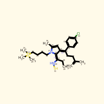 C=C(C)CC/C(c1ccc(Cl)cc1)=c1/cc(C)n(CCCCS(C)(C)C)/c1=C(/CC)NS